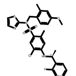 COc1ccc(CN(c2nccs2)S(=O)(=O)c2cc(Cl)c(N[C@@H](C)c3ccccc3F)cc2C)c(C)c1